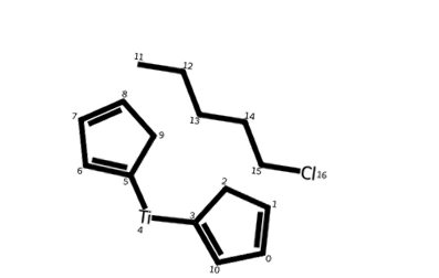 C1=CC[C]([Ti][C]2=CC=CC2)=C1.CCCCCCl